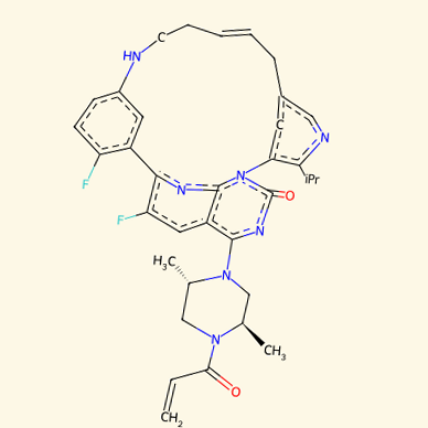 C=CC(=O)N1C[C@H](C)N(c2nc(=O)n3c4nc(c(F)cc24)-c2cc(ccc2F)NCC/C=C/Cc2cnc(C(C)C)c-3c2)C[C@H]1C